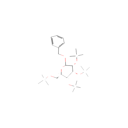 C[Si](C)(C)OC[C@H]1OC(OCc2ccccc2)[C@@H](O[Si](C)(C)C)[C@@H](O[Si](C)(C)C)[C@@H]1O[Si](C)(C)C